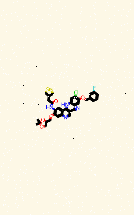 CC1(C)OCC(COc2cc3ncc(C#N)c(Nc4ccc(OCc5cccc(F)c5)c(Cl)c4)c3cc2NC(=O)CC2CSSC2)O1